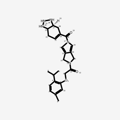 Cc1ccc(C(C)C)c(OCC(=O)N2Cc3cn(C(=O)C4=CCC5NNN[C@H]5C4)cc3C2)c1